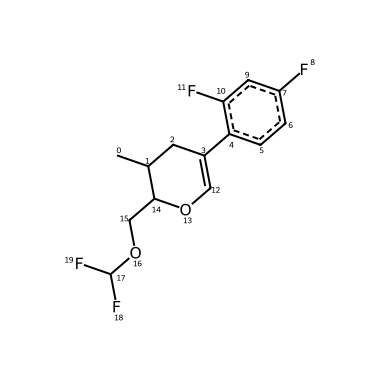 CC1CC(c2ccc(F)cc2F)=COC1COC(F)F